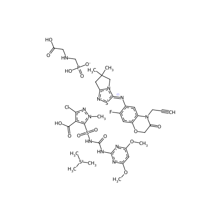 C#CCN1C(=O)COc2cc(F)c(/N=c3\snc4n3CC(C)(C)C4)cc21.COc1cc(OC)nc(NC(=O)NS(=O)(=O)c2c(C(=O)O)c(Cl)nn2C)n1.C[S+](C)C.O=C(O)CNCP(=O)([O-])O